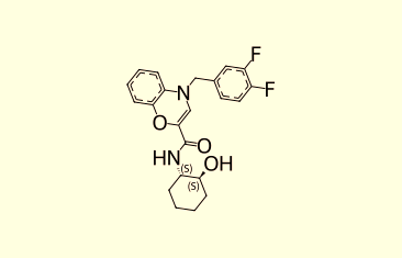 O=C(N[C@H]1CCCC[C@@H]1O)C1=CN(Cc2ccc(F)c(F)c2)c2ccccc2O1